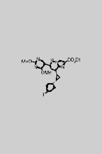 CCOC(=O)c1cn2nc(-c3cnc(OC)nc3OC)cc([C@H]3C[C@@H]3c3ccc(F)cc3)c2n1